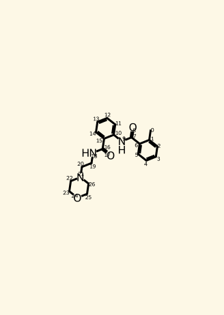 Cc1ccccc1C(=O)Nc1ccccc1C(=O)NCCN1CCOCC1